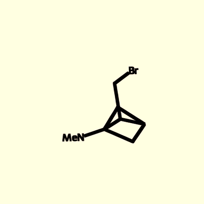 CNC12CC(C1)C2CBr